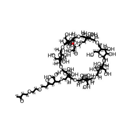 CN[C@H](CSCC1O[C@H]2O[C@@H]3C(CO)O[C@H](O[C@@H]4C(CO)O[C@H](O[C@@H]5C(CO)O[C@H](O[C@@H]6C(CSCC(CC(=O)CCOCCOCCC(C)=O)C(=O)O)O[C@H](O[C@@H]7C(CO)O[C@@H](O[C@@H]8C(CO)O[C@@H](O[C@H]1[C@H](O)C2O)C(O)[C@H]8O)C(O)[C@H]7O)C(O)[C@H]6O)C(O)[C@H]5O)C(O)[C@H]4O)C(O)[C@H]3O)C(=O)O